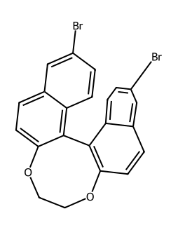 Brc1ccc2c3c(ccc2c1)OCCOc1ccc2cc(Br)ccc2c1-3